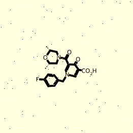 C[C@@H]1CN(C(=O)c2cn(Cc3ccc(F)cc3)cc(C(=O)O)c2=O)C[C@H](C)O1